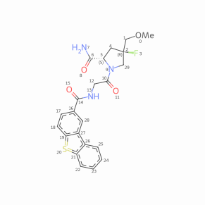 COC[C@@]1(F)C[C@@H](C(N)=O)N(C(=O)CNC(=O)c2ccc3sc4ccccc4c3c2)C1